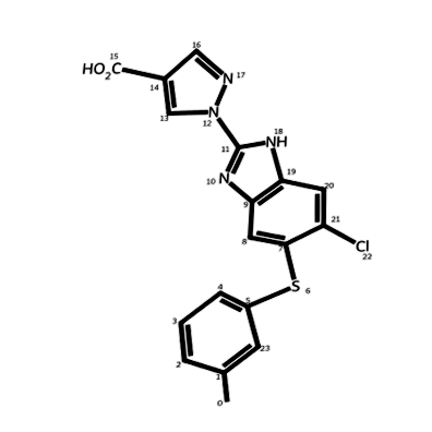 Cc1cccc(Sc2cc3nc(-n4cc(C(=O)O)cn4)[nH]c3cc2Cl)c1